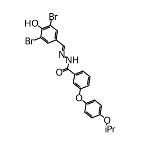 CC(C)Oc1ccc(Oc2cccc(C(=O)NN=Cc3cc(Br)c(O)c(Br)c3)c2)cc1